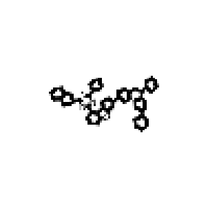 c1ccc(-c2ccc(C(Cc3ccc(-c4ccc5c(c4)oc4cccc(-c6nc(-c7ccccc7)nc(-c7ccc8ccccc8c7)n6)c45)cc3)c3ccccc3)cc2)cc1